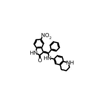 O=C1Nc2ccc([N+](=O)[O-])cc2/C1=C(/Nc1ccc2c(c1)CCCN2)c1ccccc1